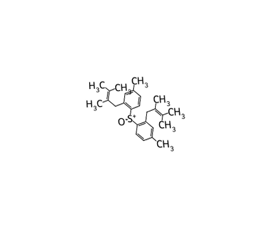 CC(C)=C(C)Cc1cc(C)ccc1[S+]([O-])c1ccc(C)cc1CC(C)=C(C)C